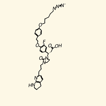 [N-]=[N+]=NCCCCCOc1ccc(CCOc2ccc([C@H](CC(=O)O)N3CCN(CCCc4ccc5c(n4)NCCC5)C3=O)cc2F)cc1